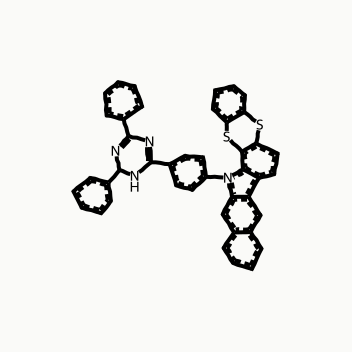 c1ccc(C2=NC(c3ccccc3)NC(c3ccc(-n4c5cc6ccccc6cc5c5ccc6c(c54)Sc4ccccc4S6)cc3)=N2)cc1